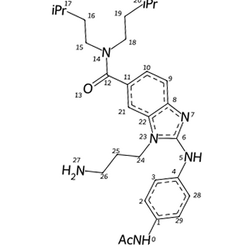 CC(=O)Nc1ccc(Nc2nc3ccc(C(=O)N(CCC(C)C)CCC(C)C)cc3n2CCCN)cc1